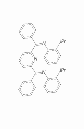 CC(C)c1ccccc1N=C(c1ccccc1)c1cccc(C(=Nc2ccccc2C(C)C)c2ccccc2)n1